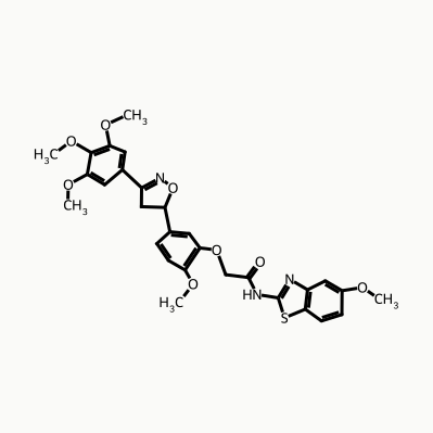 COc1ccc2sc(NC(=O)COc3cc(C4CC(c5cc(OC)c(OC)c(OC)c5)=NO4)ccc3OC)nc2c1